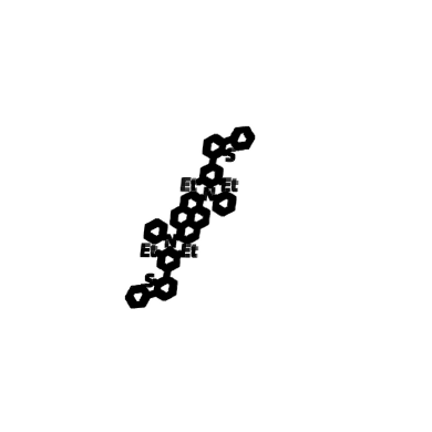 CCc1cc(-c2cccc3c2sc2ccccc23)cc(CC)c1N(c1ccccc1)c1ccc2ccc3c(N(c4ccccc4)c4c(CC)cc(-c5cccc6c5sc5ccccc56)cc4CC)ccc4ccc1c2c43